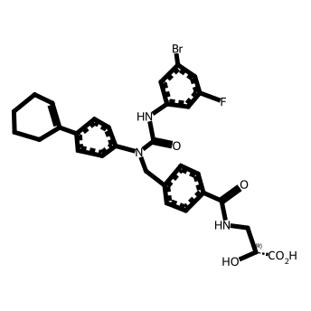 O=C(NC[C@@H](O)C(=O)O)c1ccc(CN(C(=O)Nc2cc(F)cc(Br)c2)c2ccc(C3=CCCCC3)cc2)cc1